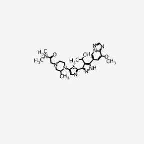 COc1cc(-c2[nH]nc(-c3ncc(N4CCN(CC(=O)N(C)C)CC4C)s3)c2C(C)C)cn2ncnc12